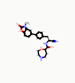 Cn1c(=O)oc2ccc(-c3ccc(C[C@@H](C#N)NC(=O)C4CCNCCO4)cc3)cc21